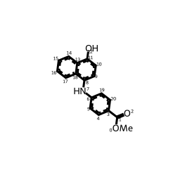 COC(=O)c1ccc(Nc2ccc(O)c3ccccc23)cc1